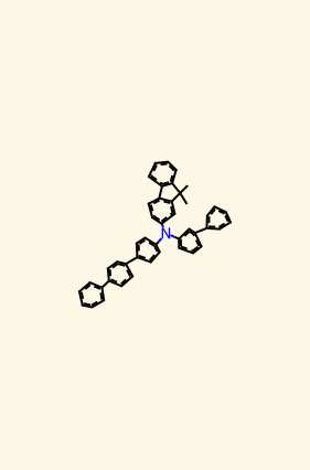 CC1(C)c2ccccc2-c2ccc(N(c3ccc(-c4ccc(-c5ccccc5)cc4)cc3)c3cccc(-c4ccccc4)c3)cc21